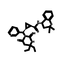 CCC1(CC)CC(=O)N(C(c2cccnc2)[C@@H]2C[C@H]2C(=O)N[C@H]2CC(C)(C)Oc3ccccc32)C(=N)N1